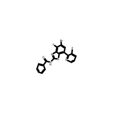 O=C(Nc1nc2c(F)c(Br)cc(-c3ncccc3F)c2s1)c1ccccc1